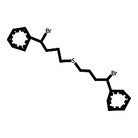 BrC(CCCSCCCC(Br)c1ccccc1)c1ccccc1